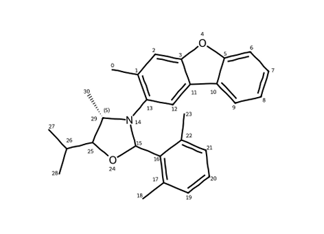 Cc1cc2oc3ccccc3c2cc1N1C(c2c(C)cccc2C)OC(C(C)C)[C@@H]1C